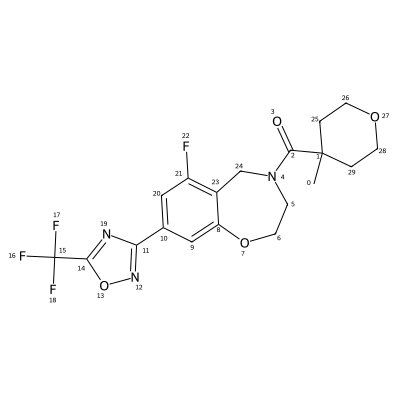 CC1(C(=O)N2CCOc3cc(-c4noc(C(F)(F)F)n4)cc(F)c3C2)CCOCC1